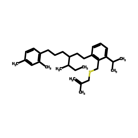 C=C(C)CSCc1c(CCC(CCCc2ccc(C)cc2C)C(C)CC)cccc1C(C)C